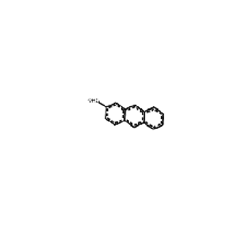 O=[C]c1ccc2cc3ccccc3cc2c1